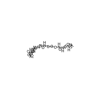 CC(=O)c1c(C)c2cnc(Nc3ccc(N4CCN(CC(=O)NCCOCCOCCOCCNC(=O)CNc5ccc(C(=O)Nc6ncc(C)s6)c(C)c5)CC4)cn3)nc2n(C2CCCC2)c1=O